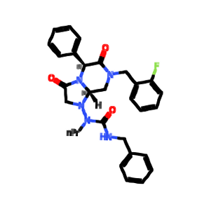 CCCN(C(=O)NCc1ccccc1)N1CC(=O)N2[C@@H](c3ccccc3)C(=O)N(Cc3ccccc3F)C[C@@H]21